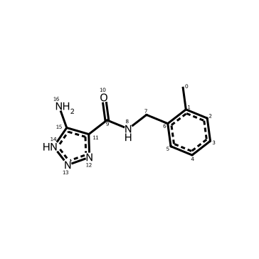 Cc1ccccc1CNC(=O)c1nn[nH]c1N